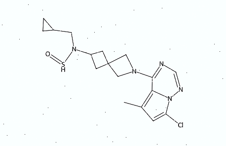 Cc1cc(Cl)n2ncnc(N3CC4(CC(N(CC5CC5)[SH]=O)C4)C3)c12